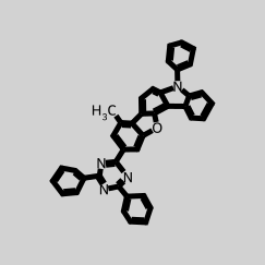 Cc1cc(-c2nc(-c3ccccc3)nc(-c3ccccc3)n2)cc2oc3c(ccc4c3c3ccccc3n4-c3ccccc3)c12